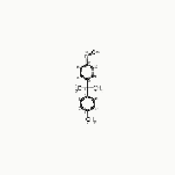 Cc1ccc(C(C)(C)c2ccc(N=O)cc2)cc1